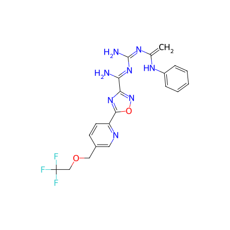 C=C(/N=C(N)\N=C(/N)c1noc(-c2ccc(COCC(F)(F)F)cn2)n1)Nc1ccccc1